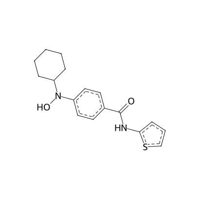 O=C(Nc1cccs1)c1ccc(N(O)C2CCCCC2)cc1